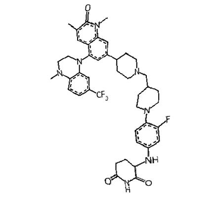 Cc1cc2c(N3CCN(C)c4ccc(C(F)(F)F)cc43)cc(C3CCN(CC4CCN(c5ccc(NC6CCC(=O)NC6=O)cc5F)CC4)CC3)cc2n(C)c1=O